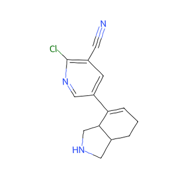 N#Cc1cc(C2=CCCC3CNCC23)cnc1Cl